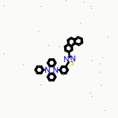 c1ccc(N2c3ccccc3N(c3cccc(-c4nc(-c5ccc6ccc7ccccc7c6c5)ns4)c3)c3ccccc32)cc1